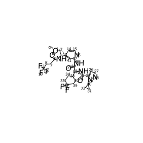 COCC(NC(=O)CCC(F)(F)F)c1ccnc(NC(=O)[C@@H](NC(=O)c2ccnn2C2CC2)C2CCC(F)(F)CC2)c1